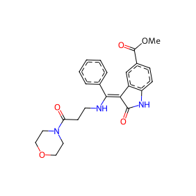 COC(=O)c1ccc2c(c1)/C(=C(/NCCC(=O)N1CCOCC1)c1ccccc1)C(=O)N2